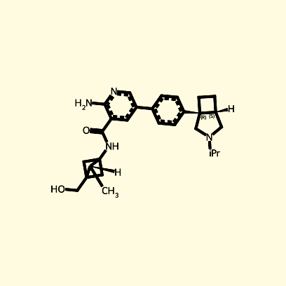 CC(C)N1C[C@H]2CC[C@@]2(c2ccc(-c3cnc(N)c(C(=O)NC45CC(CO)(C4)[C@H]5C)c3)cc2)C1